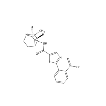 C[C@H]1[C@H](NC(=O)c2cnc(-c3ccccc3[N+](=O)[O-])s2)C2CCN1CC2